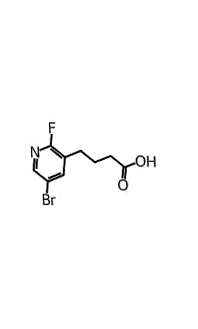 O=C(O)CCCc1cc(Br)cnc1F